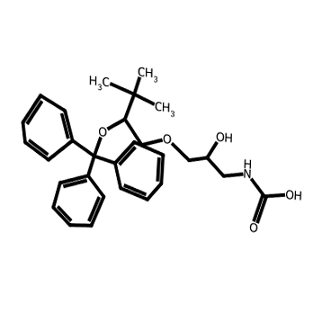 CC(C)(C)C(COCC(O)CNC(=O)O)OC(c1ccccc1)(c1ccccc1)c1ccccc1